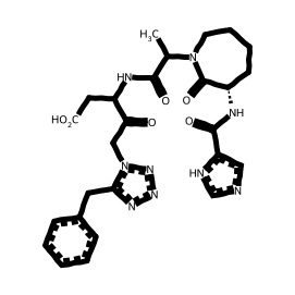 CC(C(=O)NC(CC(=O)O)C(=O)Cn1nnnc1Cc1ccccc1)N1CCCC[C@H](NC(=O)c2cnc[nH]2)C1=O